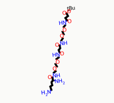 CC(C)(C)OC(=O)CCC(=O)NCCOCCOCCNC(=O)CCC(=O)NCCOCCOCCNC(=O)[C@@H](N)CCCCN